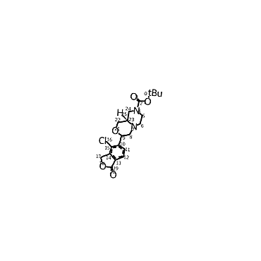 CC(C)(C)OC(=O)N1CCN2CC(c3ccc4c(c3Cl)COC4=O)OC[C@@H]2C1